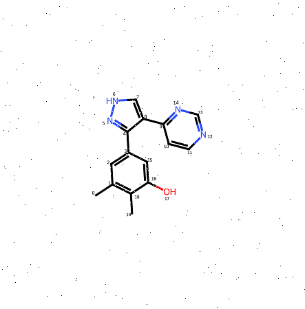 Cc1cc(-c2n[nH]cc2-c2ccncn2)cc(O)c1C